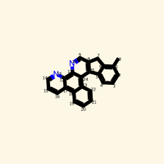 Cc1cccc2c1Cc1cnc3c4ncccc4c4ccccc4c3c1-2